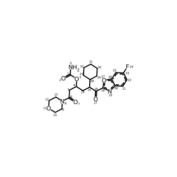 NC(=O)OC(CC(=O)N1CCOCC1)CC(C(=O)c1nc2ccc(F)cc2o1)C1CCCCC1